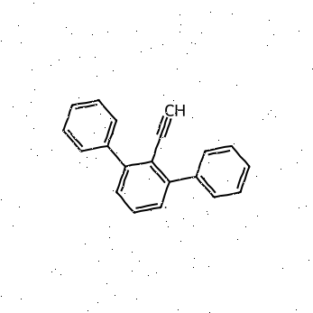 C#Cc1c(-c2ccccc2)[c]ccc1-c1ccccc1